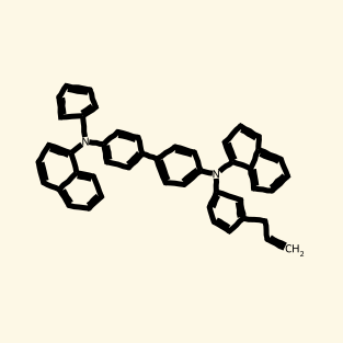 C=CCc1cccc(N(c2ccc(-c3ccc(N(c4ccccc4)c4cccc5ccccc45)cc3)cc2)c2cccc3ccccc23)c1